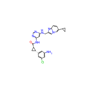 Nc1cc(Cl)cc([C@@H]2C[C@H]2C(=O)Nc2cc(NCc3cn4cc(C5CC5)ccc4n3)ncn2)c1